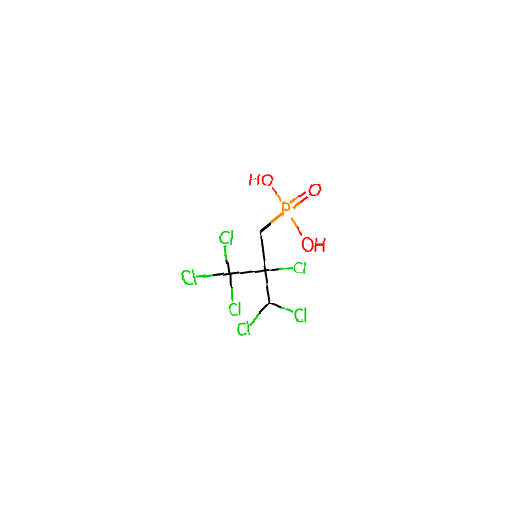 O=P(O)(O)CC(Cl)(C(Cl)Cl)C(Cl)(Cl)Cl